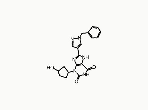 O=c1[nH]c(=O)n(C2CCC(O)C2)c2nc(-c3cnn(Cc4ccccc4)c3)[nH]c12